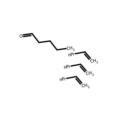 C=CCCC.C=CCCC.C=CCCC.CCCCC=O